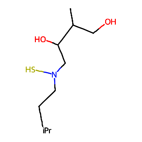 CC(C)CCN(S)CC(O)C(C)CO